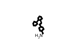 NCc1ccc(/C=C/c2ccccc2-c2ccccc2)cc1